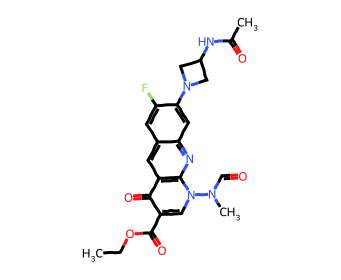 CCOC(=O)c1cn(N(C)C=O)c2nc3cc(N4CC(NC(C)=O)C4)c(F)cc3cc2c1=O